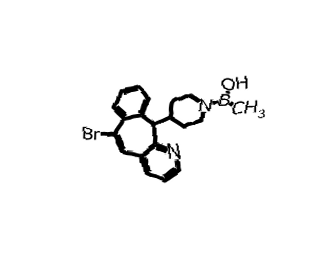 CB(O)N1CCC(C2c3ccccc3C(Br)=Cc3cccnc32)CC1